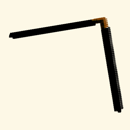 [Ag+].[Ag+].[Ag+].[Ag+].[Ag+].[Ag+].[Ag+].[Ag+].[Ag+].[Ag+].[Ag+].[Ag+].[Ag+].[Ag+].[Ag+].[Ag+].[Ag+].[Ag+].[Ag+].[Ag+].[Ag+].[Ag+].[Ag+].[Ag+].[Ag+].[Ag+].[Ag+].[Ag+].[Ag+].[Ag+].[Ag+].[Ag+].[Ag+].[Ag+].[Ag+].[Ag+].[Ag+].[Ag+].[Ag+].[Ag+].[Ag+].[Ag+].[Ag+].[Ag+].[Ag+].[Ag+].[Ag+].[Ag+].[Ag+].[Ag+].[Ag+].[Ag+].[Ag+].[Ag+].[Ag+].[Ag+].[Ag+].[Ag+].[Ag+].[Ag+].[Ag+].[Ag+].[Ag+].[Ag+].[Ag+].[Ag+].[Ag+].[Ag+].[Ag+].[Ag+].[Ag+].[Ag+].[Ag+].[Ag+].[Ag+].[Ag+].[Ag+].[Ag+].[Ag+].[Ag+].[Ag+].[Ag+].[Ag+].[Ag+].[Ag+].[Ag+].[Ag+].[Ag+].[Ag+].[Ag+].[S-2].[S-2].[S-2].[S-2].[S-2].[S-2].[S-2].[S-2].[S-2].[S-2]